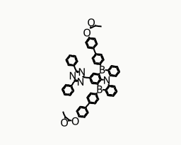 CC1OC1Oc1ccc(-c2ccc(B3c4ccccc4N4c5ccccc5B(c5ccc(-c6ccc(OC7OC7C)cc6)cc5)c5cc(-c6nc(-c7ccccc7)nc(-c7ccccc7)n6)cc3c54)cc2)cc1